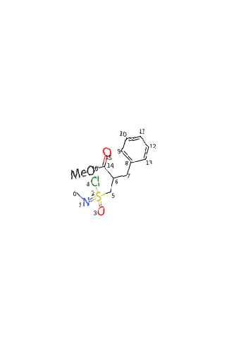 CN=S(=O)(Cl)CC(Cc1ccccc1)C(=O)OC